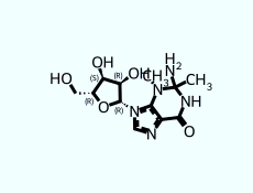 CN1c2c(ncn2[C@@H]2O[C@H](CO)[C@@H](O)[C@H]2O)C(=O)NC1(C)N